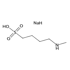 CNCCCCS(=O)(=O)O.[NaH]